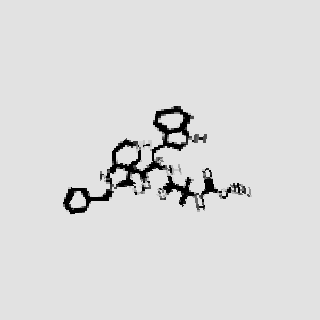 CC(C)(C)OC(=O)NC(C)(C)C(=O)N[C@H](Cc1c[nH]c2ccccc12)C(=O)C12CNCCC1=NN(Cc1ccccc1)C2=O